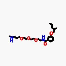 CCCC(C)COc1cccc(C(=O)NCCOCCOCCOCCCNC)c1